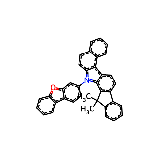 CC1(C)c2ccccc2-c2ccc3c4c5ccccc5ccc4n(-c4ccc5c(c4)oc4ccccc45)c3c21